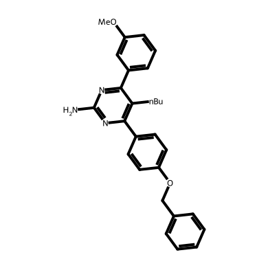 CCCCc1c(-c2ccc(OCc3ccccc3)cc2)nc(N)nc1-c1cccc(OC)c1